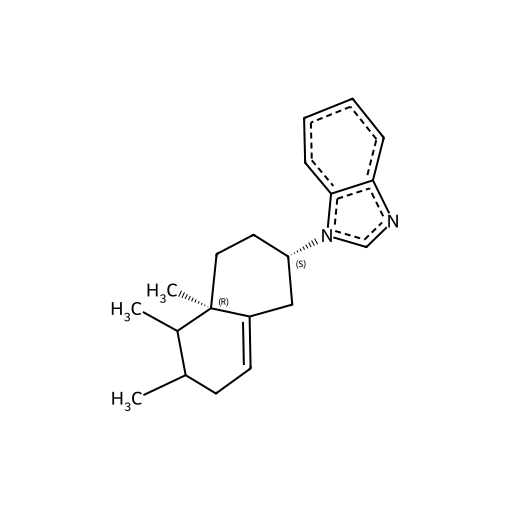 CC1CC=C2C[C@@H](n3cnc4ccccc43)CC[C@]2(C)C1C